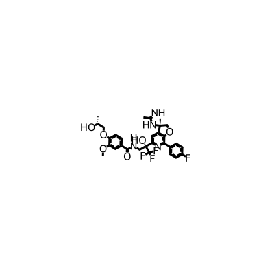 COc1cc(C(=O)NC[C@@](O)(c2cc3c(c(-c4ccc(F)cc4)n2)OC[C@@]3(C)NC(C)=N)C(F)(F)F)ccc1OC[C@@H](C)O